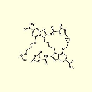 CCn1nc(C)cc1C(=O)Nc1nc2cc(C(N)=O)cc(OCCCO[Si](C)(C)C(C)(C)C)c2n1C/C=C/Cn1c(NC(=O)c2cc(C)nn2CC)nc2cc(C(N)=O)cc(OCC3CC3)c21